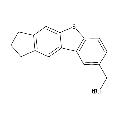 CC(C)(C)Cc1ccc2sc3cc4c(cc3c2c1)CCC4